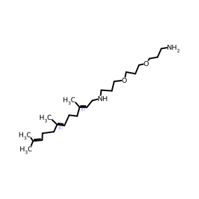 CC(C)=CCC/C(C)=C/CC/C(C)=C/CNCCCOCCCOCCCN